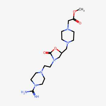 COC(=O)CN1CCN(CC2CN(CCN3CCN(C(=N)N)CC3)C(=O)O2)CC1